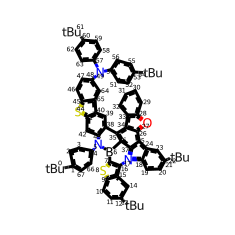 CC(C)(C)c1ccc(N2B3c4sc5ccc(C(C)(C)C)cc5c4-n4c5ccc(C(C)(C)C)cc5c5c6oc7ccccc7c6c(c3c54)-c3cc4c(cc32)sc2ccc(N(c3ccc(C(C)(C)C)cc3)c3ccc(C(C)(C)C)cc3)cc24)cc1